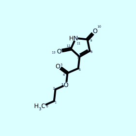 CCCOC(=O)CC1=CC(=O)NC1=O